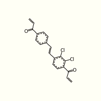 C=CC(=O)c1ccc(C=Cc2ccc(C(=O)C=C)c(Cl)c2Cl)cc1